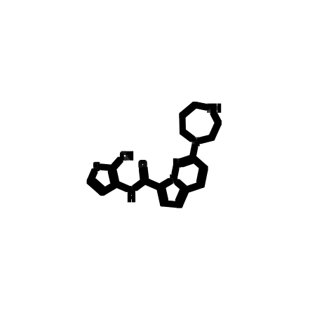 N#Cc1sccc1NC(=O)c1ccc2ccc(N3CCCNCC3)nn12